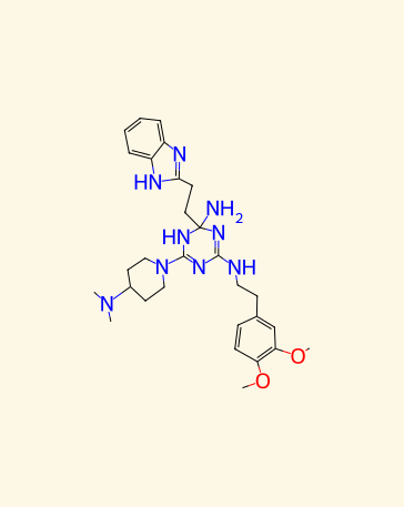 COc1ccc(CCNC2=NC(N)(CCc3nc4ccccc4[nH]3)NC(N3CCC(N(C)C)CC3)=N2)cc1OC